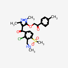 CNCc1c(S(C)(=O)=O)ccc(C(=O)c2c(C)nn(C)c2OCC(=O)c2ccc(C)cc2)c1Cl